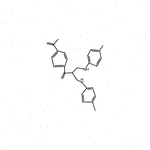 C=C(C)c1ccc(C(=C)C(CNc2ccc(C)cc2)CNc2ccc(C)cc2)cc1